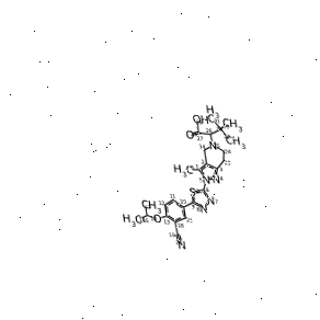 Cc1c2c(nn1-c1nnc(-c3ccc(OC(C)C)c(C#N)c3)s1)CCN(C(C(=O)O)C(C)(C)C)C2